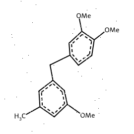 COc1cc(C)cc(Cc2ccc(OC)c(OC)c2)c1